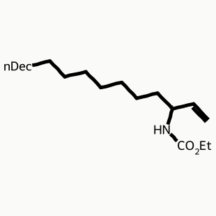 C=C[C](CCCCCCCCCCCCCCCCC)NC(=O)OCC